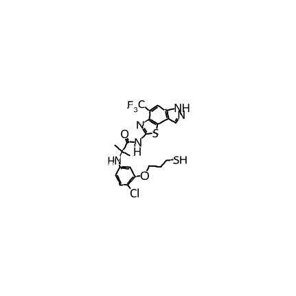 CC(C)(Nc1ccc(Cl)c(OCCCS)c1)C(=O)Nc1nc2c(C(F)(F)F)cc3[nH]ncc3c2s1